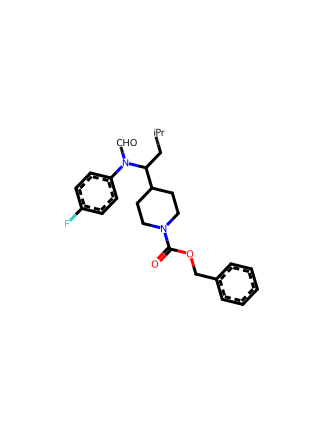 CC(C)CC(C1CCN(C(=O)OCc2ccccc2)CC1)N(C=O)c1ccc(F)cc1